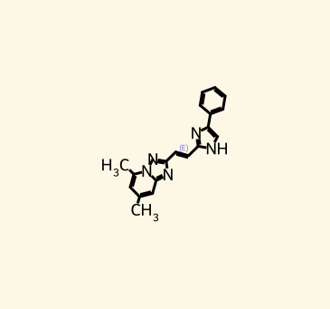 Cc1cc(C)n2nc(/C=C/c3nc(-c4ccccc4)c[nH]3)nc2c1